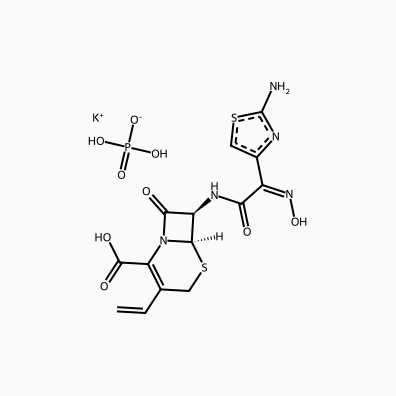 C=CC1=C(C(=O)O)N2C(=O)[C@@H](NC(=O)/C(=N\O)c3csc(N)n3)[C@H]2SC1.O=P([O-])(O)O.[K+]